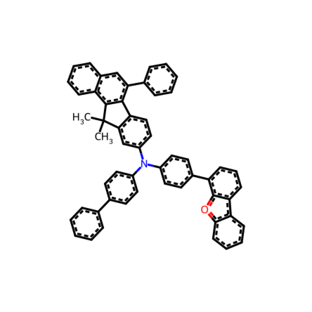 CC1(C)c2cc(N(c3ccc(-c4ccccc4)cc3)c3ccc(-c4cccc5c4oc4ccccc45)cc3)ccc2-c2c(-c3ccccc3)cc3ccccc3c21